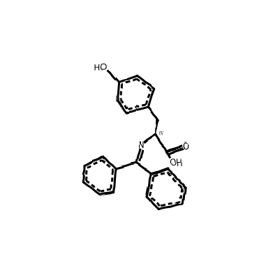 O=C(O)[C@H](Cc1ccc(O)cc1)N=C(c1ccccc1)c1ccccc1